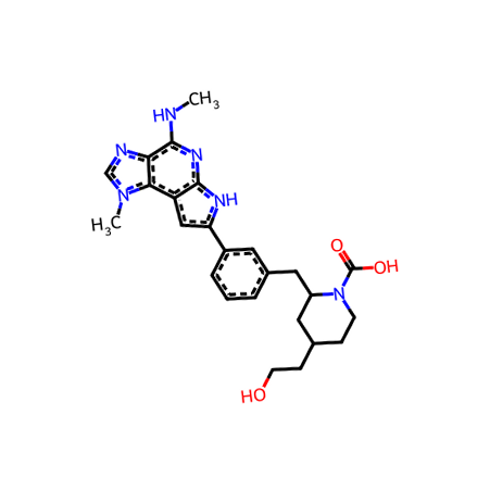 CNc1nc2[nH]c(-c3cccc(CC4CC(CCO)CCN4C(=O)O)c3)cc2c2c1ncn2C